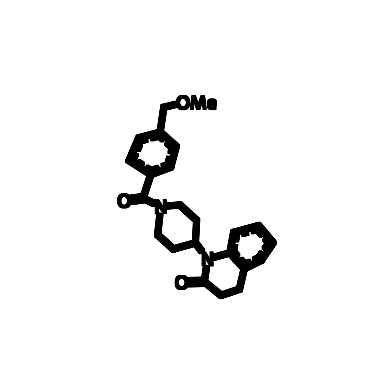 COCc1ccc(C(=O)N2CCC(N3C(=O)CCc4ccccc43)CC2)cc1